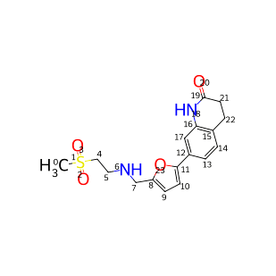 CS(=O)(=O)CCNCc1ccc(-c2ccc3c(c2)NC(=O)CC3)o1